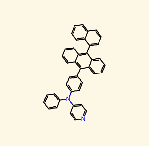 c1ccc(N(c2ccncc2)c2ccc(-c3c4ccccc4c(-c4cccc5ccccc45)c4ccccc34)cc2)cc1